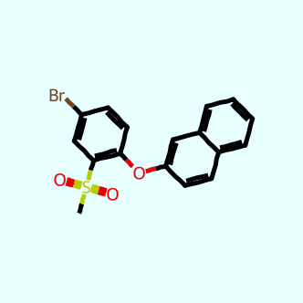 CS(=O)(=O)c1cc(Br)ccc1Oc1ccc2ccccc2c1